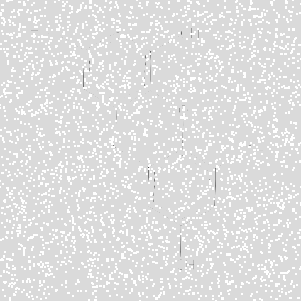 Cc1cc(C)c2c(c1)Sc1cc(C)cc(C)c1O2